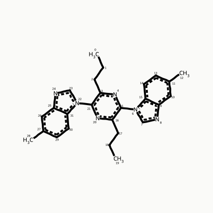 CCCc1nc(-n2cnc3cc(C)ccc32)c(CCC)nc1-n1cnc2cc(C)ccc21